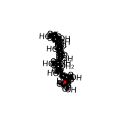 COc1ccc(/N=N\c2c(S(=O)(=O)O)cc3cc(N=Nc4c(S(=O)(=O)O)cc5c(S(=O)(=O)O)cc(/N=N/c6cc7c(O)c(N=Nc8ccc9c(S(=O)(=O)O)cccc9c8S(=O)(=O)O)c(S(=O)(=O)O)cc7cc6S(=O)(=O)O)c(N)c5c4O)ccc3c2O)c(S(=O)(=O)O)c1